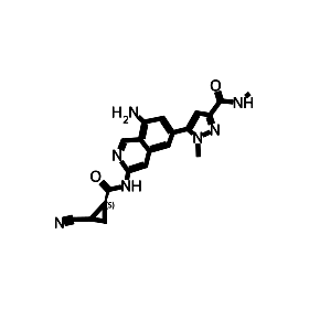 CNC(=O)c1cc(-c2cc(N)c3cnc(NC(=O)[C@H]4CC4C#N)cc3c2)n(C)n1